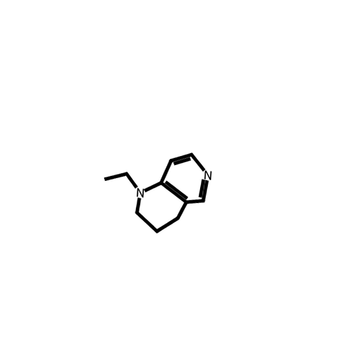 CCN1CCCc2cnccc21